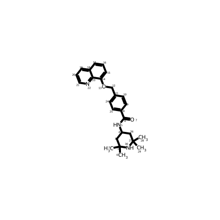 CC1(C)CC(NC(=O)c2ccc(COc3cccc4cccnc34)cc2)CC(C)(C)N1